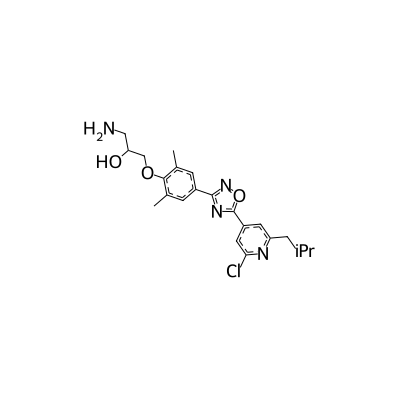 Cc1cc(-c2noc(-c3cc(Cl)nc(CC(C)C)c3)n2)cc(C)c1OCC(O)CN